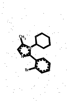 Cc1cnc(-c2ccccc2Br)n1C1CCCCC1